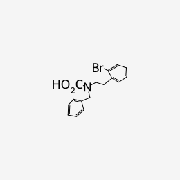 O=C(O)N(CCc1ccccc1Br)Cc1ccccc1